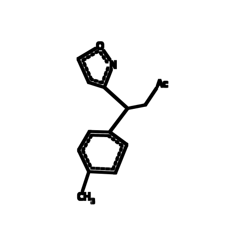 CC(=O)CC(c1ccc(C)cc1)c1ccon1